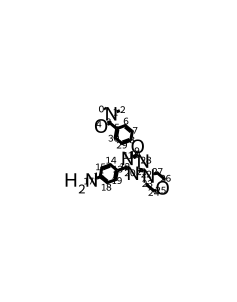 CN(C)C(=O)c1ccc(Oc2nc(-c3ccc(N)cc3)nc(N3CCOCC3)n2)cc1